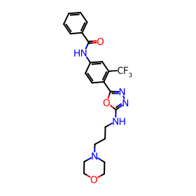 O=C(Nc1ccc(-c2nnc(NCCCN3CCOCC3)o2)c(C(F)(F)F)c1)c1ccccc1